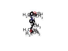 C=C1CC[C@H](O[Si](C)(C)C(C)(C)C)C/C1=C\C=C1/CCC[C@]2(C)[C@@H]([C@@H](C)CCCC(C)(C)O[Si](C)(C)C)CC[C@@H]12